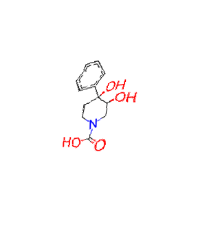 O=C(O)N1CC[C@](O)(c2ccccc2)[C@@H](O)C1